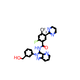 O=C(Nc1c2ncccc2nn1-c1cccc(CO)c1)c1cc(-c2ncccn2)c(C(F)(F)F)cc1F